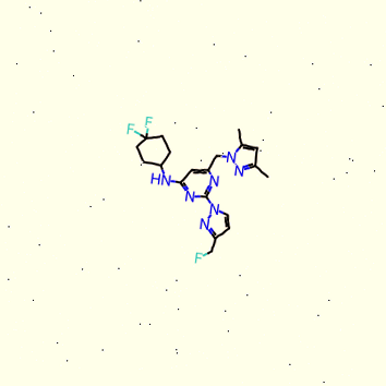 Cc1cc(C)n(Cc2cc(NC3CCC(F)(F)CC3)nc(-n3ccc(CF)n3)n2)n1